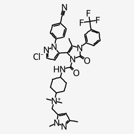 Cc1cc(C[N+](C)(C)C2CCC(NC(=O)n3c(-c4ccnn4-c4ccc(C#N)cc4)c(C)n(-c4cccc(C(F)(F)F)c4)c3=O)CC2)n(C)n1.[Cl-]